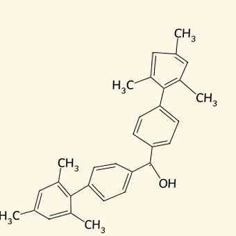 Cc1cc(C)c(-c2ccc([C](O)c3ccc(-c4c(C)cc(C)cc4C)cc3)cc2)c(C)c1